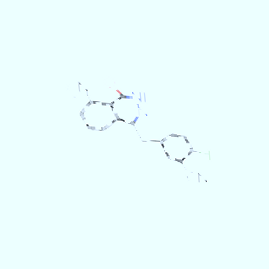 N#Cc1cc(Cc2n[nH]c(=O)c3c([N+](=O)[O-])cccc23)ccc1F